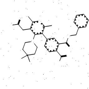 Cc1nc(C)c(-c2ccc(C(=O)O)c(C(=O)NCc3ccccc3)c2)c(N2CCC(C)(C)CC2)c1CC(=O)O